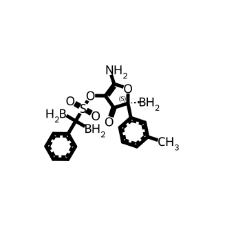 BC(B)(c1ccccc1)S(=O)(=O)OC1=C(N)O[C@@](B)(c2cccc(C)c2)C1=O